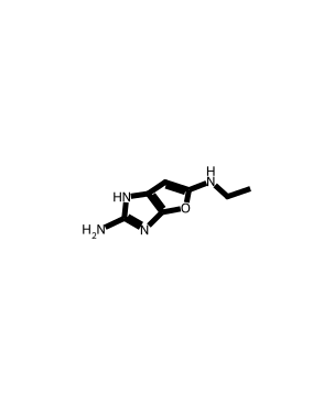 CCNc1cc2[nH]c(N)nc2o1